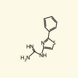 N=C(N)Nc1csc(-c2ccccc2)n1